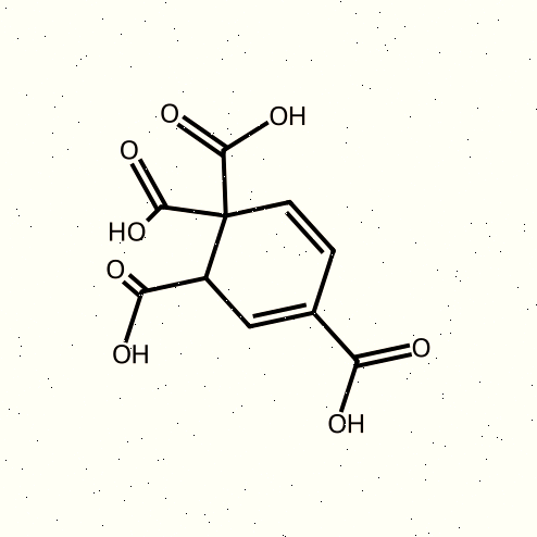 O=C(O)C1=CC(C(=O)O)C(C(=O)O)(C(=O)O)C=C1